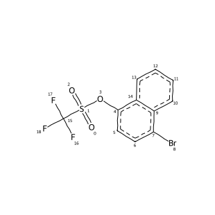 O=S(=O)(Oc1ccc(Br)c2ccccc12)C(F)(F)F